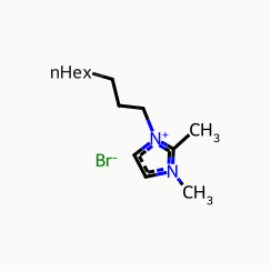 CCCCCCCCC[n+]1ccn(C)c1C.[Br-]